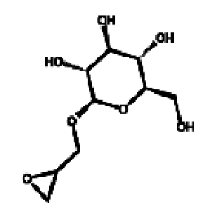 OC[C@H]1O[C@@H](OCC2CO2)[C@H](O)[C@@H](O)[C@@H]1O